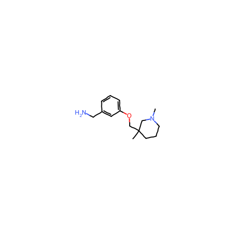 CN1CCCC(C)(COc2cccc(CN)c2)C1